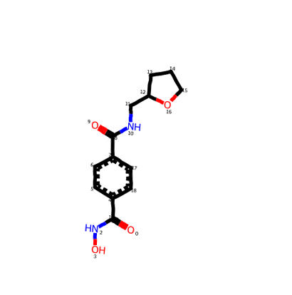 O=C(NO)c1ccc(C(=O)NCC2CCCO2)cc1